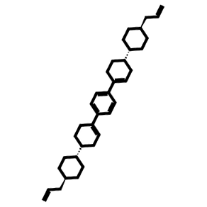 C=CC[C@H]1CC[C@H](C2CC=C(c3ccc(C4=CCC([C@H]5CC[C@H](CC=C)CC5)CC4)cc3)CC2)CC1